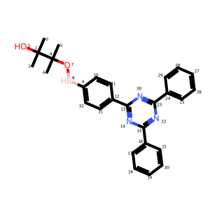 CC(C)(O)C(C)(C)OBc1ccc(-c2nc(-c3ccccc3)nc(-c3ccccc3)n2)cc1